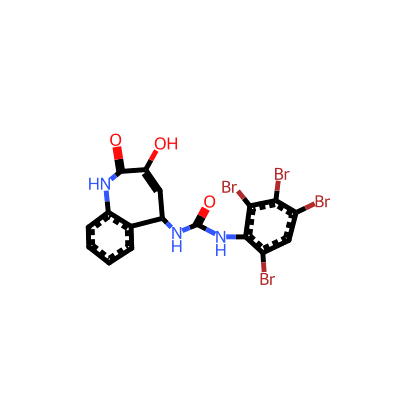 O=C(Nc1c(Br)cc(Br)c(Br)c1Br)NC1C=C(O)C(=O)Nc2ccccc21